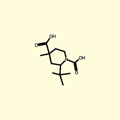 CC1(C(=O)O)CCN(C(=O)O)C(C(C)(C)C)C1